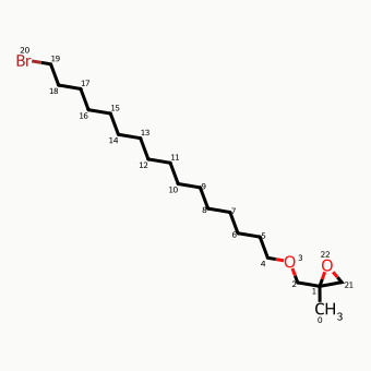 CC1(COCCCCCCCCCCCCCCCCBr)CO1